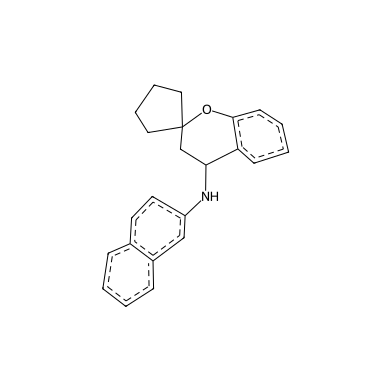 c1ccc2c(c1)OC1(CCCC1)CC2Nc1ccc2ccccc2c1